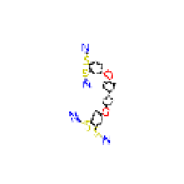 N#CSc1ccc(Oc2ccc(-c3ccc(Oc4ccc(SC#N)c(SC#N)c4)cc3)cc2)cc1SC#N